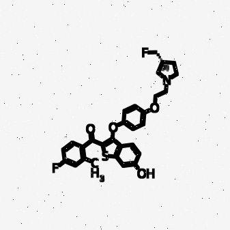 Cc1cc(F)ccc1C(=O)c1sc2cc(O)ccc2c1Oc1ccc(OCCN2CC[C@@H](CF)C2)cc1